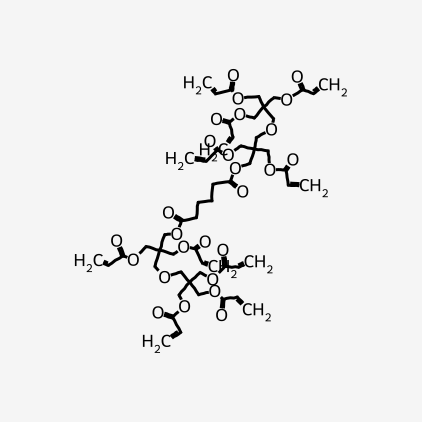 C=CC(=O)OCC(COCC(COC(=O)C=C)(COC(=O)C=C)COC(=O)CCCCC(=O)OCC(COCC(COC(=O)C=C)(COC(=O)C=C)COC(=O)C=C)(COC(=O)C=C)COC(=O)C=C)(COC(=O)C=C)COC(=O)C=C